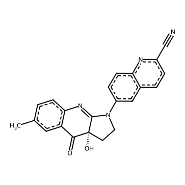 Cc1ccc2c(c1)C(=O)[C@]1(O)CCN(c3ccc4nc(C#N)ccc4c3)C1=N2